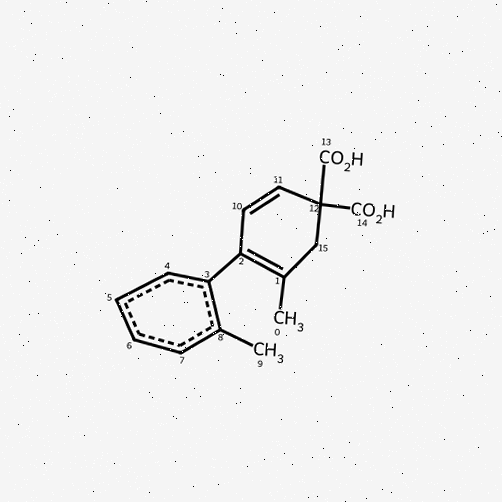 CC1=C(c2ccccc2C)C=CC(C(=O)O)(C(=O)O)C1